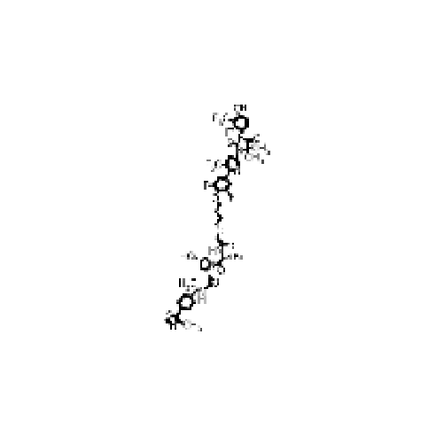 Cc1ncsc1-c1ccc([C@H](C)NC2OC2[C@@H]2C[C@@H](O)CN2C(=O)[C@@H](NC(=O)COCCCCOc2c(F)cc(-c3ncc(N4C(=S)N(c5ccc(C#N)c(C(F)(F)F)c5F)C(=O)C4(C)C)cc3C(F)(F)F)cc2F)C(C)(C)C)cc1